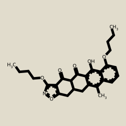 CCCCOc1noc2c1C(=O)C1C(=O)c3c(c(C)c4cccc(OCCCC)c4c3O)CC1C2